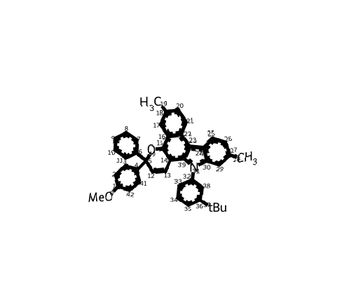 COc1ccc(C2(c3ccccc3)C=Cc3c(c4cc(C)ccc4c4c5ccc(C)cc5n(-c5cccc(C(C)(C)C)c5)c34)O2)cc1